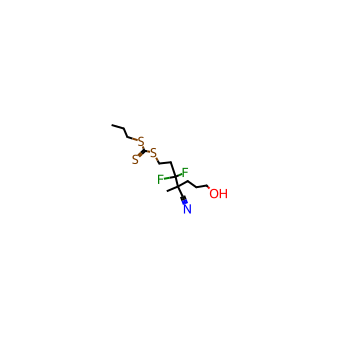 CCCSC(=S)SCCC(F)(F)C(C)(C#N)CCCO